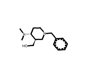 CN(C)[C@@H]1CCN(Cc2ccccc2)C[C@H]1CO